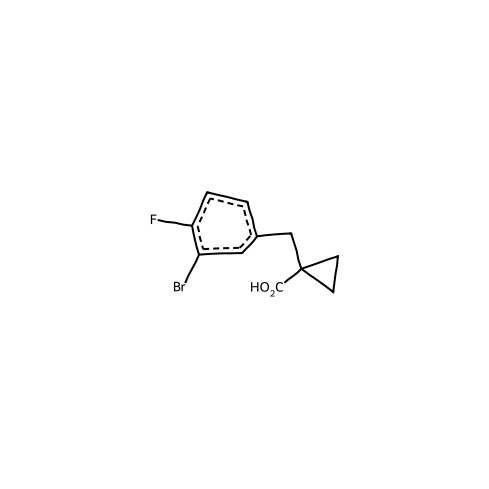 O=C(O)C1(Cc2ccc(F)c(Br)c2)CC1